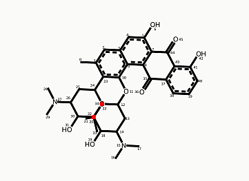 Cc1cc2cc(O)c3c(c2c(OC2CC(N(C)C)C(O)C(C)O2)c1C1CC(N(C)C)C(O)C(C)O1)C(=O)c1cccc(O)c1C3=O